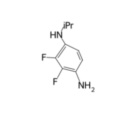 CC(C)Nc1ccc(N)c(F)c1F